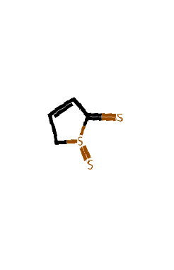 S=C1C=CCS1=S